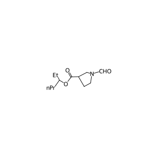 CCCC(CC)OC(=O)C1CCN(C=O)C1